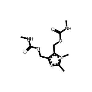 CNC(=O)OCc1nc(C)n(C)c1COC(=O)NC